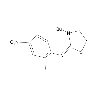 CCC(C)N1CCSC1=Nc1ccc([N+](=O)[O-])cc1C